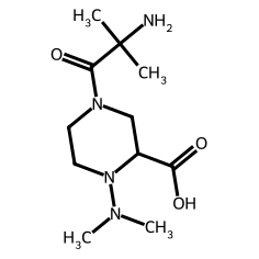 CN(C)N1CCN(C(=O)C(C)(C)N)CC1C(=O)O